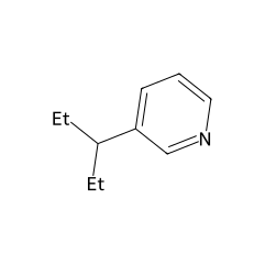 CCC(CC)c1cccnc1